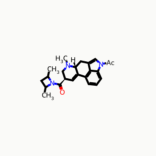 CC(=O)n1cc2c3c(cccc31)C1=C[C@@H](C(=O)N3C(C)CC3C)CN(C)[C@@H]1C2